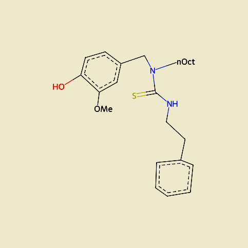 CCCCCCCCN(Cc1ccc(O)c(OC)c1)C(=S)NCCc1ccccc1